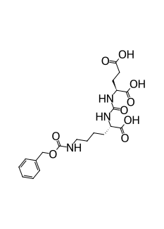 O=C(O)CC[C@H](NC(=O)N[C@@H](CCCCNC(=O)OCc1ccccc1)C(=O)O)C(=O)O